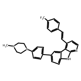 CN1CCN(c2ccc(-c3ccc4[nH]c5nccc(C=Cc6ccc(C(F)(F)F)cc6)c5c4c3)cc2)CC1